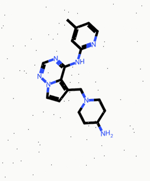 Cc1ccnc(Nc2ncnn3ccc(CN4CCC(N)CC4)c23)c1